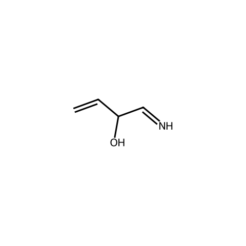 C=CC(O)C=N